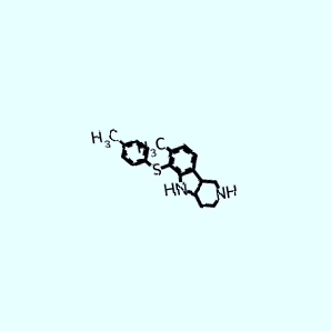 Cc1ccc(Sc2c(C)ccc3c2NC2CCNCC32)cc1